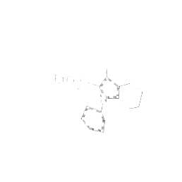 CCOC(=O)c1c(C)c2c(n1-c1ccccc1)CCCC2